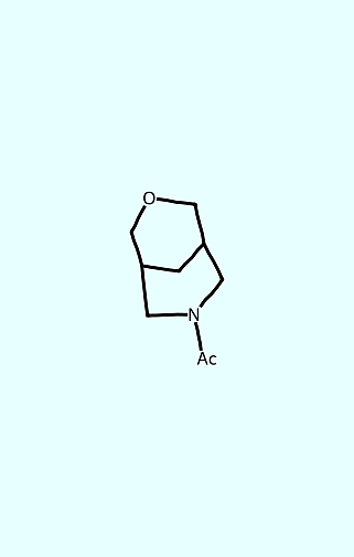 CC(=O)N1CC2COCC(C2)C1